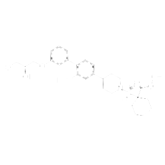 COC(=O)C1(S(=O)(=O)N2CCC(c3ccc(-c4cccc(OC[C@@H](O)CO)c4)c(C)c3)CC2)CCOCC1